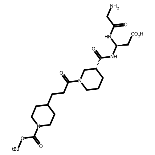 CC(C)(C)OC(=O)N1CCC(CCC(=O)N2CCC[C@@H](C(=O)N[C@H](CC(=O)O)NC(=O)CN)C2)CC1